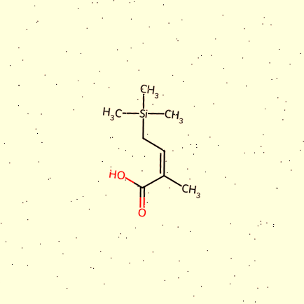 CC(=CC[Si](C)(C)C)C(=O)O